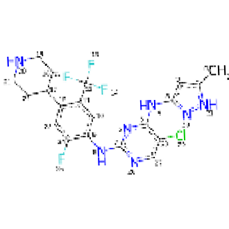 Cc1cc(Nc2nc(Nc3cc(C(F)(F)F)c(C4CCNCC4)cc3F)ncc2Cl)n[nH]1